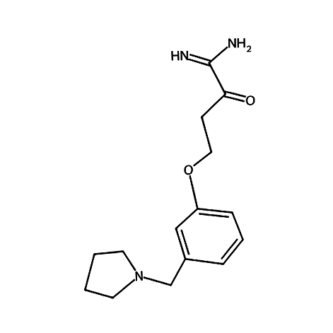 N=C(N)C(=O)CCOc1cccc(CN2CCCC2)c1